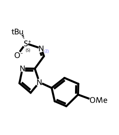 COc1ccc(-n2ccnc2/C=N\[S@+]([O-])C(C)(C)C)cc1